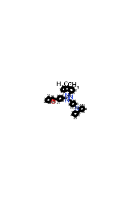 CC1(C)c2ccccc2-c2c(-c3nc(-c4ccc(-c5cc6ccccc6o5)cc4)nc(-c4ccc(-n5c6ccccc6c6ccccc65)cc4)n3)cccc21